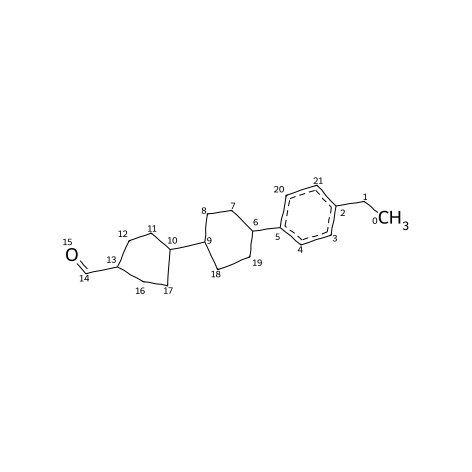 CCc1ccc(C2CCC(C3CCC(C=O)CC3)CC2)cc1